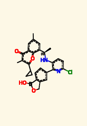 Cc1cc([C@@H](C)Nc2ccc(Cl)nc2-c2ccc3c(c2)COB3O)c2oc(C3CC3)c(C)c(=O)c2c1